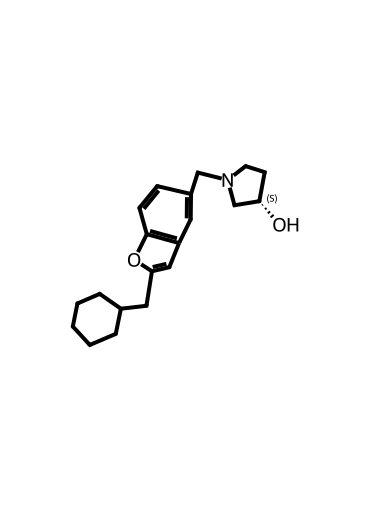 O[C@H]1CCN(Cc2ccc3oc(CC4CCCCC4)cc3c2)C1